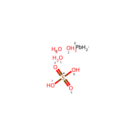 O.O.O.O=S(=O)(O)O.[PbH2]